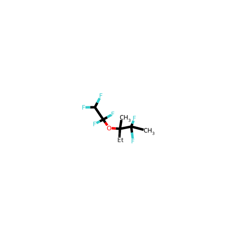 CCC(C)(OC(F)(F)C(F)F)C(C)(F)F